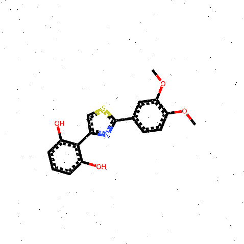 COc1ccc(-c2nc(-c3c(O)cccc3O)cs2)cc1OC